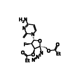 C=C1N=C(N)C=CN1[C@@H]1O[C@@](COC(=O)CC)(N=[N+]=[N-])[C@@H](OC(=O)CC)[C@H]1F